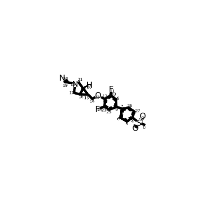 CS(=O)(=O)c1ccc(-c2cc(F)c(OCC3C4CN(C#N)C[C@H]34)c(F)c2)cc1